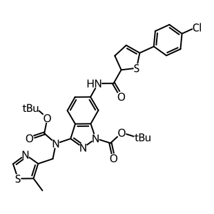 Cc1scnc1CN(C(=O)OC(C)(C)C)c1nn(C(=O)OC(C)(C)C)c2cc(NC(=O)C3CC=C(c4ccc(Cl)cc4)S3)ccc12